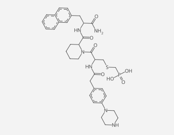 NC(=O)C(Cc1ccc2ccccc2c1)NC(=O)C1CCCCN1C(=O)C(CSCP(=O)(O)O)NC(=O)Cc1ccc(N2CCNCC2)cc1